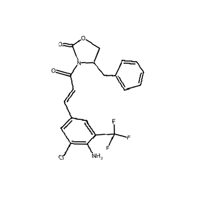 Nc1c(Cl)cc(C=CC(=O)N2C(=O)OCC2Cc2ccccc2)cc1C(F)(F)F